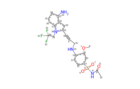 COc1cc(S(=O)(=O)NC(C)=O)ccc1NCC#Cc1cc2c(N)cccc2n1CC(F)(F)F